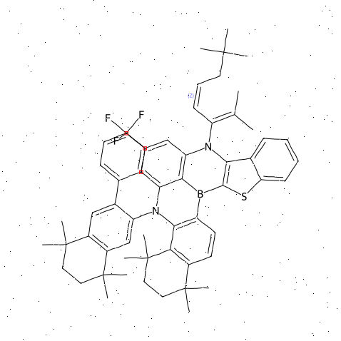 CC(C)=C(/C=C\CC(C)(C)C)N1c2cc(C(F)(F)F)cc3c2B(c2ccc4c(c2N3c2cc3c(cc2-c2ccccc2)C(C)(C)CCC3(C)C)C(C)(C)CCC4(C)C)c2sc3ccccc3c21